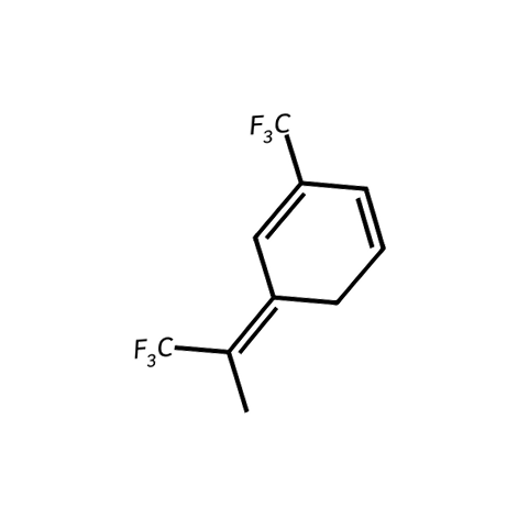 CC(=C1C=C(C(F)(F)F)C=CC1)C(F)(F)F